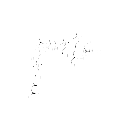 CC(N)=O.CCN.CCN.CCN.C[N+](C)(C)CCO.C[N+](C)(C)CCO.C[N+](C)(C)CCOCC(O)CO.Cl.Cl.Cl.O=C([O-])CC(=O)[O-].OCCO.[Cl-]